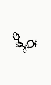 O=C(c1csc(C2CCOCC2)c1)N1CCCC(F)(F)CC1